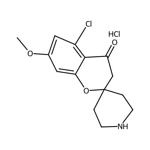 COc1cc(Cl)c2c(c1)OC1(CCNCC1)CC2=O.Cl